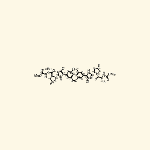 CC[C@H](C)[C@H](NC(=O)OC)C(=O)N1C[C@@H](F)C[C@H]1c1nc(Cl)c(-c2cc3c4c(c2)OCc2cc(-c5[nH]c([C@@H]6C[C@H](F)CN6C(=O)[C@@H](NC(=O)OC)[C@@H](C)CC)nc5Cl)cc(c2-4)OC3)[nH]1